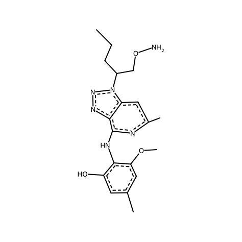 CCCC(CON)n1nnc2c(Nc3c(O)cc(C)cc3OC)nc(C)cc21